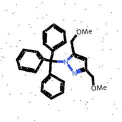 COCc1cc(COC)n(C(c2ccccc2)(c2ccccc2)c2ccccc2)n1